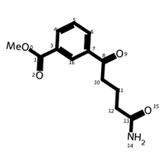 COC(=O)c1cccc(C(=O)CCCC(N)=O)c1